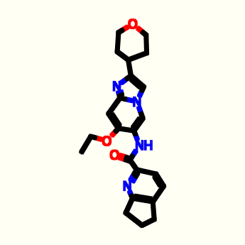 CCOc1cc2nc(C3CCOCC3)cn2cc1NC(=O)c1ccc2c(n1)CCC2